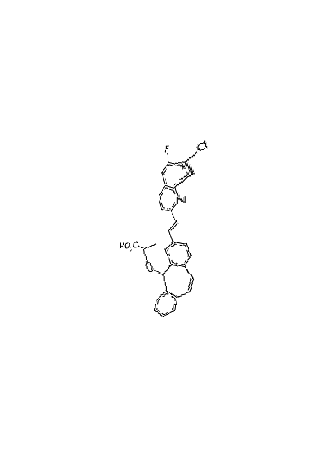 CC(OC1c2ccccc2C=Cc2ccc(/C=C/c3ccc4cc(F)c(Cl)cc4n3)cc21)C(=O)O